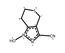 N#Cc1nn(O)c2c1CSCC2